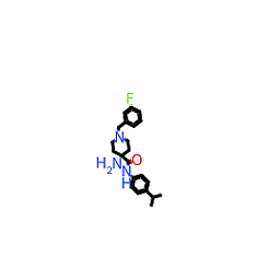 CC(C)c1ccc(NC(=O)C2(N)CCN(Cc3cccc(F)c3)CC2)cc1